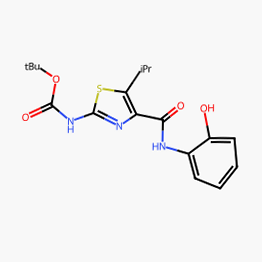 CC(C)c1sc(NC(=O)OC(C)(C)C)nc1C(=O)Nc1ccccc1O